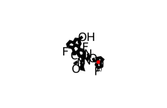 C#Cc1c(F)ccc2cc(O)cc(-c3ccc4c(N5CCOC6CC65)nc(OC[C@@]56CCCN5C[C@H](F)C6)nc4c3F)c12